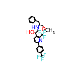 COC[C@H](Cc1ccccc1)NC[C@@H](O)c1ccc(-c2ccc(C(F)(F)F)cc2)nc1C(F)(F)F